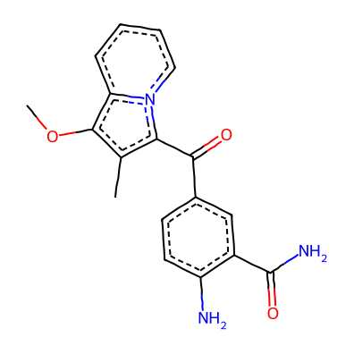 COc1c(C)c(C(=O)c2ccc(N)c(C(N)=O)c2)n2ccccc12